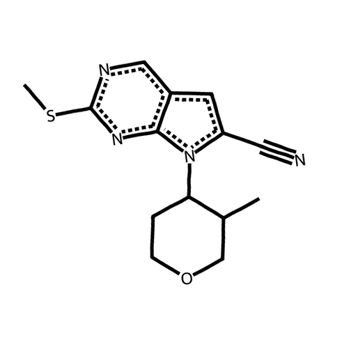 CSc1ncc2cc(C#N)n(C3CCOCC3C)c2n1